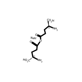 N[C@@H](CCC(=O)OC(=O)CC[C@H](N)C(=O)O)C(=O)O.[NaH]